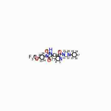 CC1(Cc2ccnc(C(=O)N3CCN(c4ccccc4)CC3)c2)NC(=O)N(c2ccc(OC(F)(F)F)cc2)C1=O